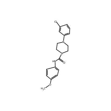 COc1ccc(NC(=O)N2CCN(c3cccc(Cl)c3)CC2)cc1